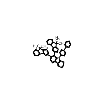 CC1(C)c2ccccc2-c2cc(-c3ccc4c5ccccc5n(-c5ccc(-c6ccccc6)cc5)c4c3-c3ccc4c(c3)-c3ccccc3C4(C)C)ccc21